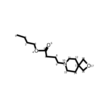 CCCCOC(=O)CCCN1CCC2(CC1)COC2